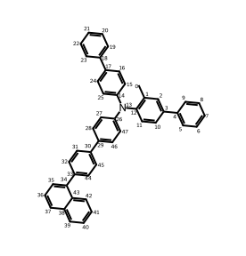 Cc1cc(-c2ccccc2)ccc1N(c1ccc(-c2ccccc2)cc1)c1ccc(-c2ccc(-c3cccc4ccccc34)cc2)cc1